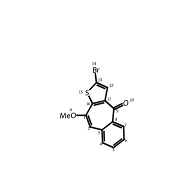 COc1cc2ccccc2c(=O)c2cc(Br)sc12